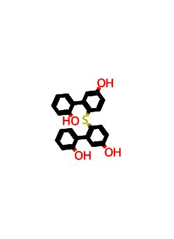 Oc1ccc(Sc2ccc(O)cc2-c2ccccc2O)c(-c2ccccc2O)c1